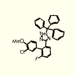 COc1ccc(-c2c(F)cccc2-c2nnn(C(c3ccccc3)(c3ccccc3)c3ccccc3)n2)cc1Cl